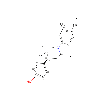 CC1(C)CN(c2ccc(C#N)c(C(F)(F)F)c2)CC[C@H]1c1ccc(O)cc1